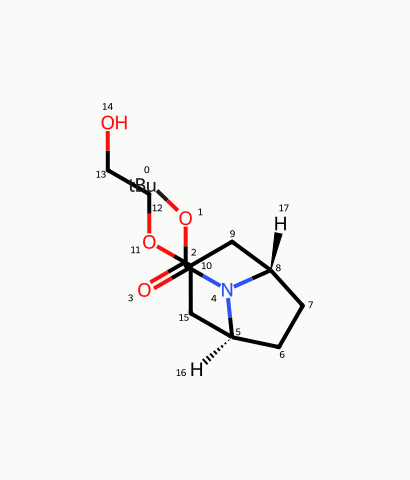 CC(C)(C)OC(=O)N1[C@H]2CC[C@H]1CC(OCCO)C2